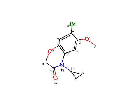 COc1cc2c(cc1Br)OCC(=O)N2C1CC1